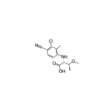 CO[C@@H](C)[C@@H](Nc1ccc(C#N)c(Cl)c1C)C(=O)O